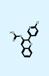 O=C(O)OC1=Cc2ccccc2OC1c1ccc(Cl)nc1